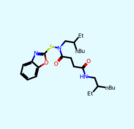 CCCCC(CC)CNC(=O)CCC(=O)N(CC(CC)CCCC)Sc1nc2ccccc2o1